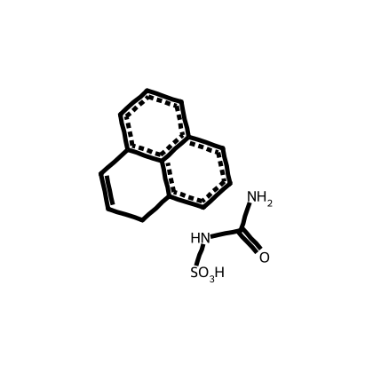 C1=Cc2cccc3cccc(c23)C1.NC(=O)NS(=O)(=O)O